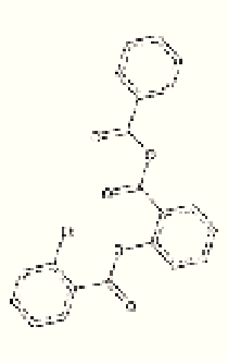 CCc1ccccc1C(=O)Oc1ccccc1C(=O)OC(=O)c1ccccc1